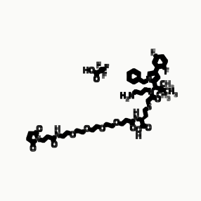 CC(C)(C)[C@H](c1cc(-c2cc(F)ccc2F)cn1Cc1ccccc1)N(CCCN)C(=O)CSCC[C@H](NC(=O)CCOCCOCCOCCOCCNC(=O)CCN1C(=O)C=CC1=O)C(=O)O.O=C(O)C(F)(F)F